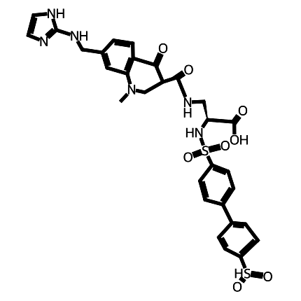 CN1CC(C(=O)NC[C@H](NS(=O)(=O)c2ccc(-c3ccc([SH](=O)=O)cc3)cc2)C(=O)O)C(=O)c2ccc(CNc3ncc[nH]3)cc21